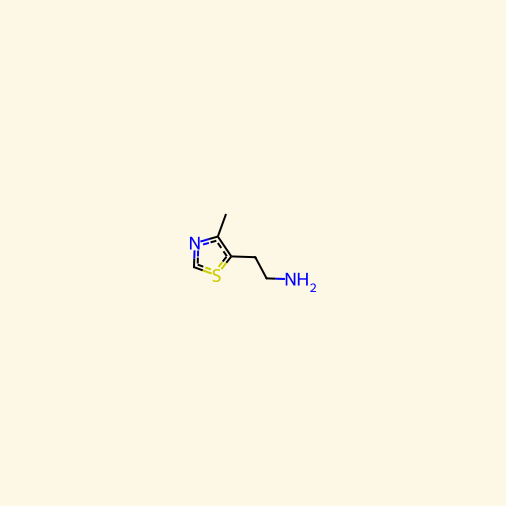 Cc1ncsc1CCN